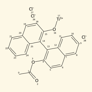 CC(=O)Oc1ccc2ccccc2c1-c1c([O][Ti+3])ccc2ccccc12.[Cl-].[Cl-].[Cl-]